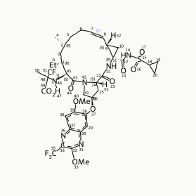 CC[C@@H]1C[C@H](C)CC/C=C\[C@@H]2C[C@@]2(C(=O)NS(=O)(=O)C2CC2)NC(=O)[C@@H]2C[C@@H](Oc3cc4nc(OC)c(C(F)(F)F)nc4cc3OC)CN2C(=O)[C@H]1N(C(=O)O)C(C)(C)C(F)(F)F